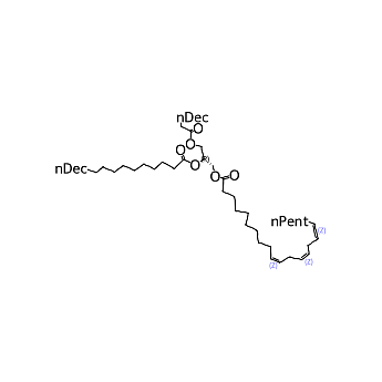 CCCCC/C=C\C/C=C\C/C=C\CCCCCCCCC(=O)OC[C@@H](COC(=O)CCCCCCCCCCC)OC(=O)CCCCCCCCCCCCCCCCCCC